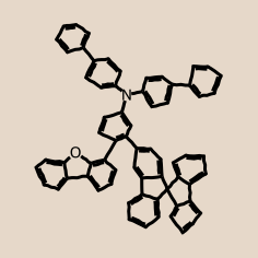 c1ccc(-c2ccc(N(c3ccc(-c4ccccc4)cc3)c3ccc(-c4cccc5c4oc4ccccc45)c(-c4ccc5c(c4)-c4ccccc4C54c5ccccc5-c5ccccc54)c3)cc2)cc1